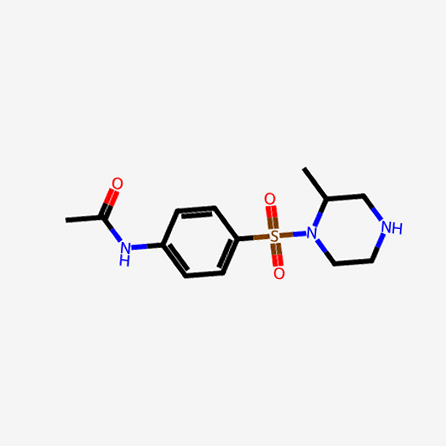 CC(=O)Nc1ccc(S(=O)(=O)N2CCNCC2C)cc1